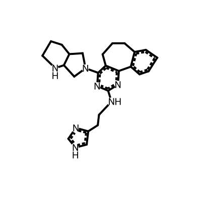 c1ccc2c(c1)CCCc1c-2nc(NCCc2c[nH]cn2)nc1N1CC2CCCNC2C1